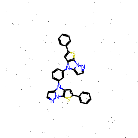 c1ccc(-c2cc3c(s2)n2nccc2n3-c2cccc(-n3c4cc(-c5ccccc5)sc4n4nccc34)c2)cc1